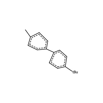 Cc1ccc(-c2ccc(C(C)(C)C)cc2)cc1